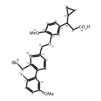 COc1ccc(F)c(-c2ccc(COc3cc(C(CC(=O)O)C4CC4)ccc3OC)nc2CC(C)(C)C)c1